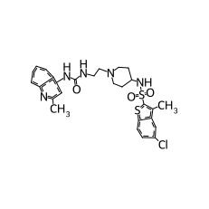 Cc1cc(NC(=O)NCCN2CCC(NS(=O)(=O)c3sc4ccc(Cl)cc4c3C)CC2)c2ccccc2n1